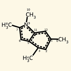 Cc1cc(C)c2cc(C)n(C)c2c1